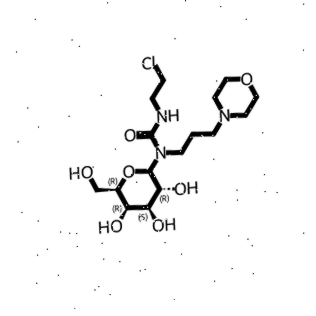 O=C(NCCCl)N(CCCN1CCOCC1)C1O[C@H](CO)[C@H](O)[C@H](O)[C@H]1O